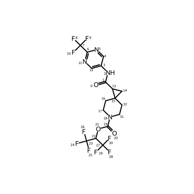 O=C(Nc1cnc(C(F)(F)F)nc1)C1CC12CCN(C(=O)OC(C(F)(F)F)C(F)(F)F)CC2